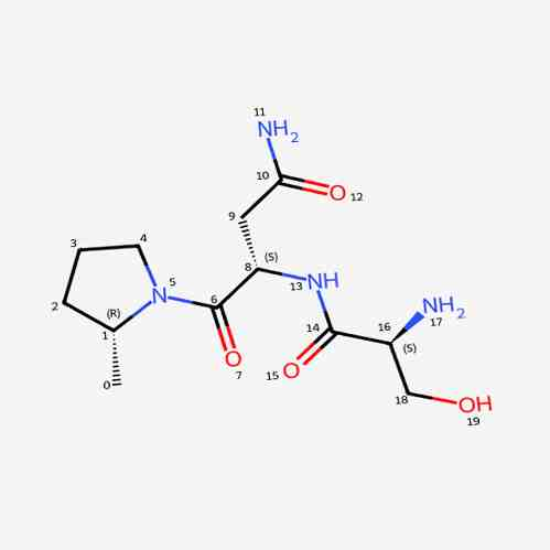 C[C@@H]1CCCN1C(=O)[C@H](CC(N)=O)NC(=O)[C@@H](N)CO